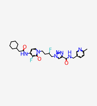 Cc1ccc(CNC(=O)c2cn(CC(F)CCn3ccc(NC(=O)CC4CCCCC4)c(F)c3=O)nn2)cn1